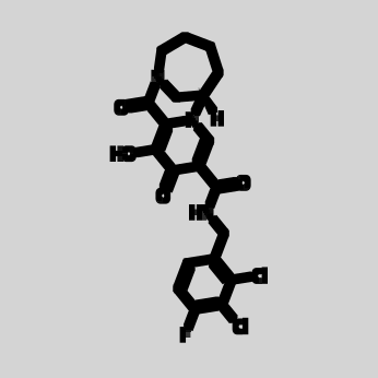 O=C(NCc1ccc(F)c(Cl)c1Cl)c1cn2c(c(O)c1=O)C(=O)N1CCCC[C@H]2C1